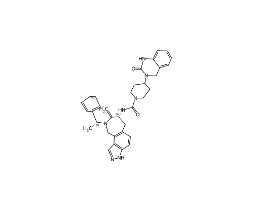 C=C1[C@H](NC(=O)N2CCC(N3Cc4ccccc4NC3=O)CC2)Cc2ccc3[nH]ncc3c2CN1[C@H](C)c1ccccc1